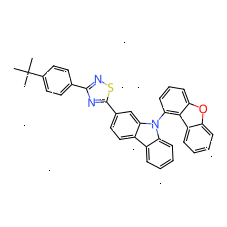 CC(C)(C)c1ccc(-c2nsc(-c3ccc4c5ccccc5n(-c5cccc6oc7ccccc7c56)c4c3)n2)cc1